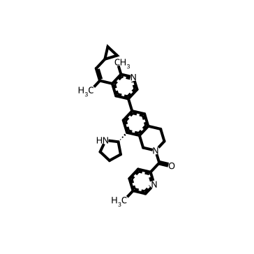 C/C(=C/C1CC1)c1cc(-c2cc3c(c([C@@H]4CCCN4)c2)CN(C(=O)c2ccc(C)cn2)CC3)cnc1C